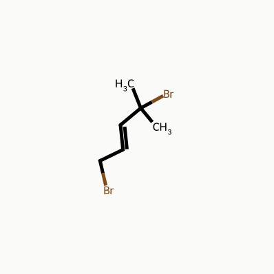 CC(C)(Br)C=CCBr